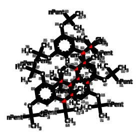 CCCCCC(C)(C)Oc1cc(OC(C)(C)CCCCC)c([SiH](O[SiH](c2c(OC(C)(C)CCCCC)cc(OC(C)(C)CCCCC)cc2OC(C)(C)CCCCC)c2c(OC(C)(C)CCCCC)cc(OC(C)(C)CCCCC)cc2OC(C)(C)CCCCC)c2c(OC(C)(C)CCCCC)cc(OC(C)(C)CCCCC)cc2OC(C)(C)CCCCC)c(OC(C)(C)CCCCC)c1